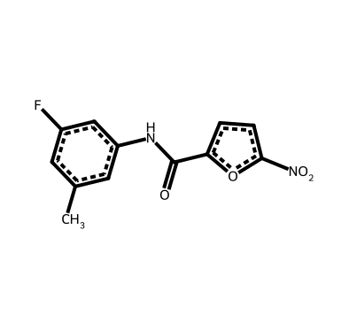 Cc1cc(F)cc(NC(=O)c2ccc([N+](=O)[O-])o2)c1